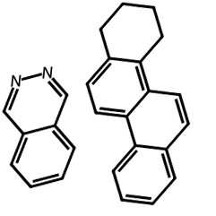 c1ccc2c(c1)ccc1c3c(ccc12)CCCC3.c1ccc2cnncc2c1